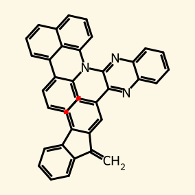 C=C1c2ccccc2-c2ccc(-c3nc4ccccc4nc3N3c4ccccc4-c4cccc5cccc3c45)cc21